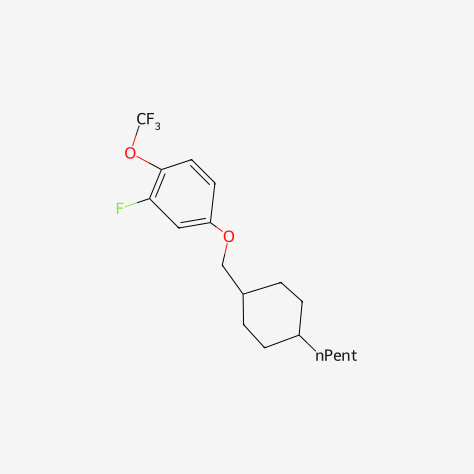 CCCCCC1CCC(COc2ccc(OC(F)(F)F)c(F)c2)CC1